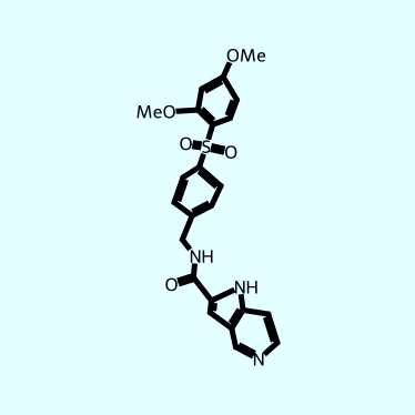 COc1ccc(S(=O)(=O)c2ccc(CNC(=O)c3cc4cnccc4[nH]3)cc2)c(OC)c1